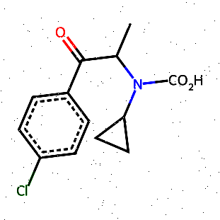 CC(C(=O)c1ccc(Cl)cc1)N(C(=O)O)C1CC1